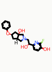 Oc1ccc([C@@H](O)CN2C[C@@H]3C[C@@H](Oc4ccccc4)C[C@]3(O)C2)nc1F